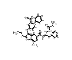 CCCc1nc2c(C)cc(C(=O)N[C@@H](CSC(=O)CC)Cc3ccccc3)cc2n1Cc1ccc(-c2ccccc2)c(C(=O)O)c1